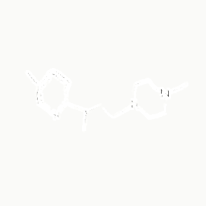 Cc1ccc(C(C)CCN2CCN(C)CC2)nc1